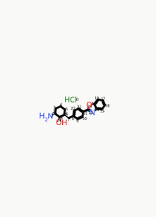 Cl.N[C@H]1CCC[C@@H](Cc2ccc(-c3nc4ccccc4o3)cc2)[C@H]1O